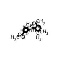 C=C(C)C1CCC(C)(C)CC1C(=O)Nc1cccc(C(=O)OC)c1